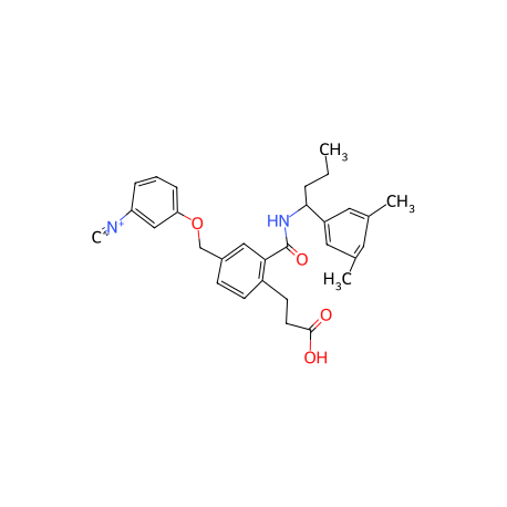 [C-]#[N+]c1cccc(OCc2ccc(CCC(=O)O)c(C(=O)NC(CCC)c3cc(C)cc(C)c3)c2)c1